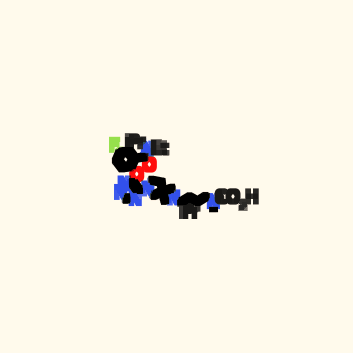 CCN(C(=O)c1cc(F)ccc1Oc1nncnc1N1CCC2(C1)CN(C(CCCN(C)C(=O)O)C(C)C)C2)C(C)C